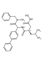 CC(C)C[C@H](CC(=O)NO)C(=O)NC(C(=O)N(C)Cc1ccccc1)c1ccc(-c2ccccc2)cc1